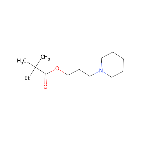 CCC(C)(C)C(=O)OCCCN1CCCCC1